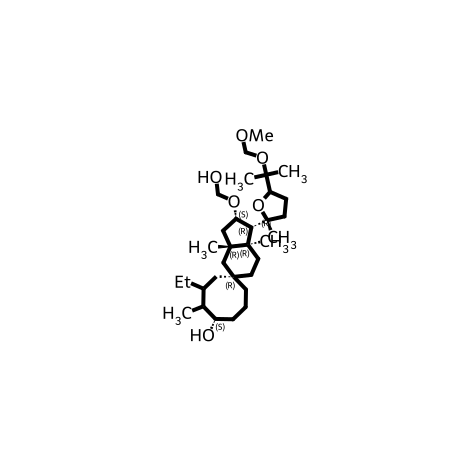 CCC1C[C@@]2(CCC[C@H](O)C1C)CC[C@]1(C)[C@@H]([C@@]3(C)CCC(C(C)(C)OCOC)O3)[C@@H](OCO)C[C@@]1(C)C2